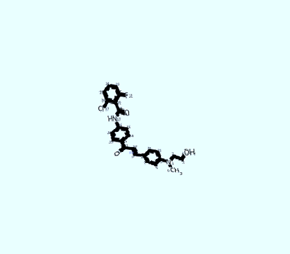 CN(CCO)c1ccc(/C=C/C(=O)c2ccc(NC(=O)c3c(F)cccc3Cl)cc2)cc1